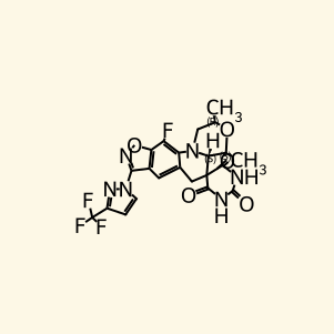 C[C@@H]1CN2c3c(cc4c(-n5ccc(C(F)(F)F)n5)noc4c3F)CC3(C(=O)NC(=O)NC3=O)[C@H]2[C@H](C)O1